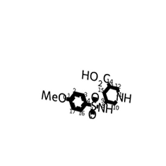 COc1ccc(S(=O)(=O)NC2CNCC(C(=O)O)C2)cc1